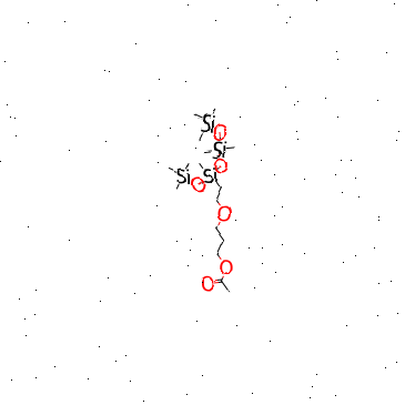 CC(=O)OCCCOCC[Si](C)(O[Si](C)(C)C)O[Si](C)(C)O[Si](C)(C)C